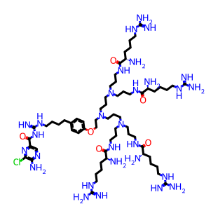 N=C(N)NCCCC[C@H](N)C(=O)NCCCN(CCCNC(=O)[C@@H](N)CCCCNC(=N)N)CCCN(CCCN(CCCNC(=O)[C@@H](N)CCCCNC(=N)N)CCCNC(=O)[C@@H](N)CCCCNC(=N)N)CCOc1ccc(CCCCNC(=N)NC(=O)c2cnc(N)c(Cl)n2)cc1